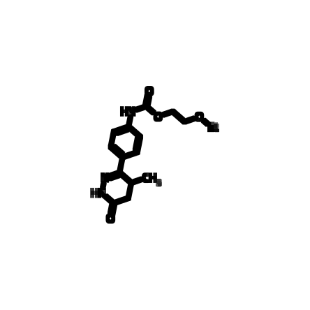 CCOCCOC(=O)Nc1ccc(C2=NNC(=O)CC2C)cc1